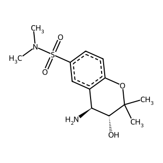 CN(C)S(=O)(=O)c1ccc2c(c1)[C@H](N)[C@@H](O)C(C)(C)O2